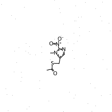 CC(=O)SCc1cnc([N+](=O)[O-])n1C